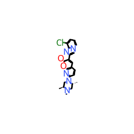 C[C@@H]1CN(C)[C@@H](C)CN1c1ccc2cc(-c3cn4cccc(Cl)c4n3)c(=O)oc2n1